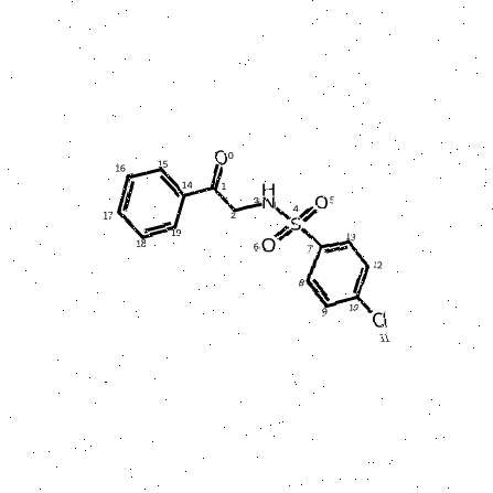 O=C(CNS(=O)(=O)c1ccc(Cl)cc1)c1ccccc1